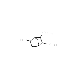 O=C(O)C1C2CC(S)C(S2)C1C(=O)O